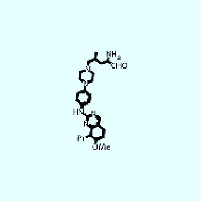 COC1=CCc2cnc(Nc3ccc(N4CCN(CC(C)CC(N)C=O)CC4)cc3)nc2C1C(C)C